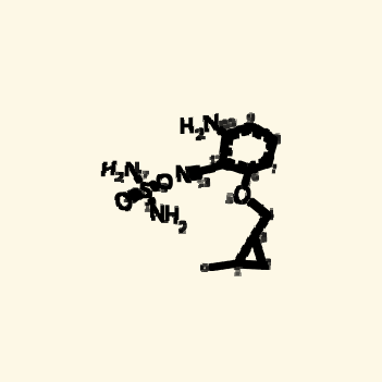 CC1CC1COc1cccc(N)c1C#N.NS(N)(=O)=O